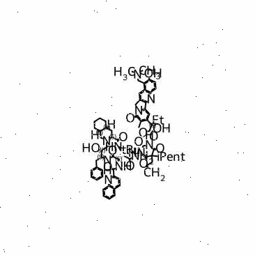 C=CCC1(C(C)CCC)C(=O)NC(=O)NC1=O.CC(C)(C)NC(=O)[C@@H]1C[C@@H]2CCCC[C@@H]2CN1C[C@@H](O)[C@H](Cc1ccccc1)NC(=O)[C@H](CC(N)=O)NC(=O)c1ccc2ccccc2n1.CC[C@@]1(O)C(=O)OCc2c1cc1n(c2=O)Cc2cc3c(CN(C)C)c(O)ccc3nc2-1